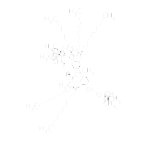 CCCCCCCCCCCC[N+](CCCCCCCCCCCC)(Cc1cc(C(C)(C)c2ccc(OCCOC[N+](C)(C)C)c(C[N+](CCCCCCCCCCCC)(CCCCCCCCCCCC)C(C)CCCCCCCCCC)c2)ccc1OCCOC[N+](C)(C)C)C(C)CCCCCCCCCC